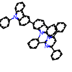 c1ccc(-c2cc(-c3ccccc3)nc(-c3ccccc3-n3c4ccccc4c4ccc(-c5ccc6c(c5)c5ccccc5n6-c5ccccc5)cc43)n2)cc1